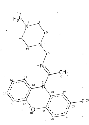 C/C(=N\CN1CCN(C)CC1)N1c2ccccc2Oc2ccc(F)cc21